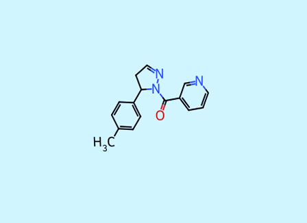 Cc1ccc(C2CC=NN2C(=O)c2cccnc2)cc1